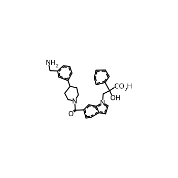 NCc1cccc(C2CCN(C(=O)c3ccc4ccn(CC(O)(C(=O)O)c5ccccc5)c4c3)CC2)c1